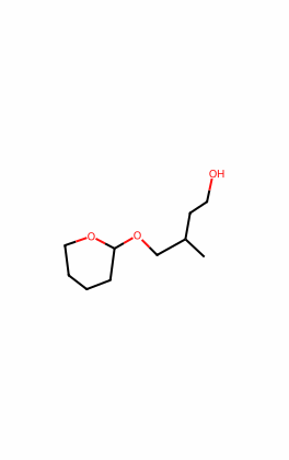 CC(CCO)COC1CCCCO1